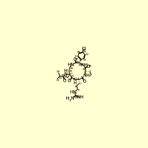 CC[C@@H]1NC(=O)[C@H](CCCNC(=N)N)NC(=O)[C@](C)(NC(=O)C(C)C)CCNC(=O)[C@@H](c2ccc(Cl)cc2)NC1=O